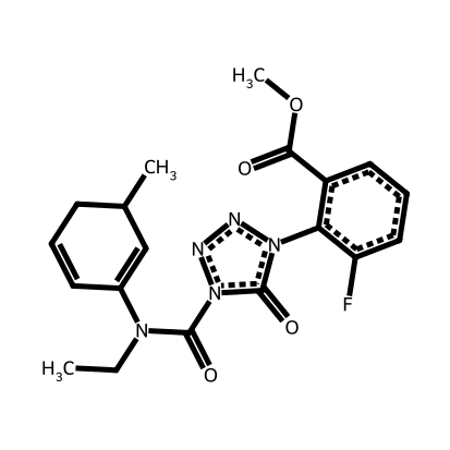 CCN(C(=O)n1nnn(-c2c(F)cccc2C(=O)OC)c1=O)C1=CC(C)CC=C1